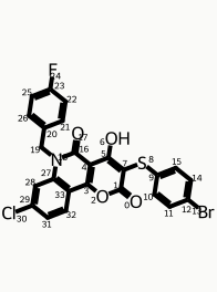 O=c1oc2c(c(O)c1Sc1ccc(Br)cc1)c(=O)n(Cc1ccc(F)cc1)c1cc(Cl)ccc21